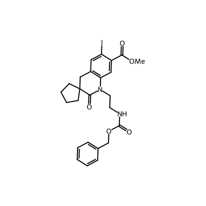 COC(=O)c1cc2c(cc1I)CC1(CCCC1)C(=O)N2CCNC(=O)OCc1ccccc1